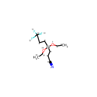 CCO[Si](CCC#N)(CCC(F)(F)F)OCC